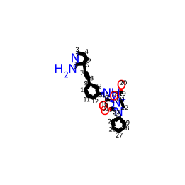 Nc1ncccc1C#Cc1cccc(NC(=O)[N+]2(OC=O)CCN(c3ccccc3)C2=O)c1